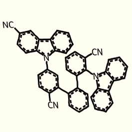 N#Cc1ccc2c(c1)c1ccccc1n2-c1ccc(C#N)c(-c2ccccc2-c2cccc(C#N)c2-n2c3ccccc3c3ccccc32)c1